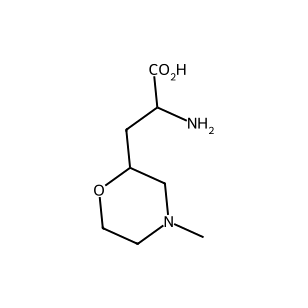 CN1CCOC(CC(N)C(=O)O)C1